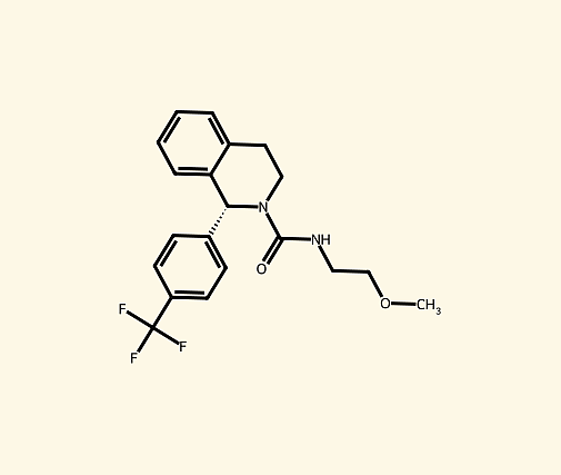 COCCNC(=O)N1CCc2ccccc2[C@H]1c1ccc(C(F)(F)F)cc1